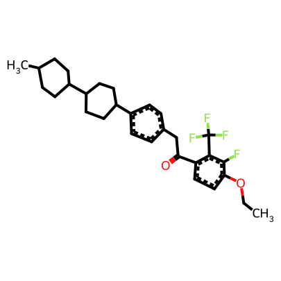 CCOc1ccc(C(=O)Cc2ccc(C3CCC(C4CCC(C)CC4)CC3)cc2)c(C(F)(F)F)c1F